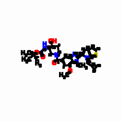 COc1cc(C(=O)N2CC[C@@H](O)[C@@H](NC(=O)OC(C)(C)C)C2)cc2nc(-c3cc4ccsc4n3CC3CC3)n(C)c12